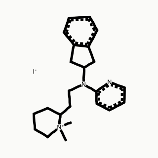 C[N+]1(C)CCCCC1CCN(c1ccccn1)C1Cc2ccccc2C1.[I-]